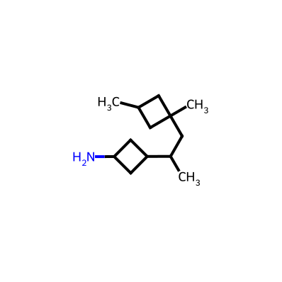 CC1CC(C)(CC(C)C2CC(N)C2)C1